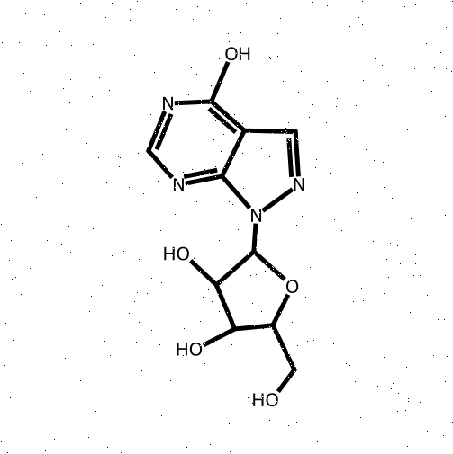 OCC1OC(n2ncc3c(O)ncnc32)C(O)C1O